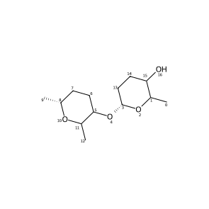 CC1O[C@H](OC2CC[C@@H](C)OC2C)CCC1O